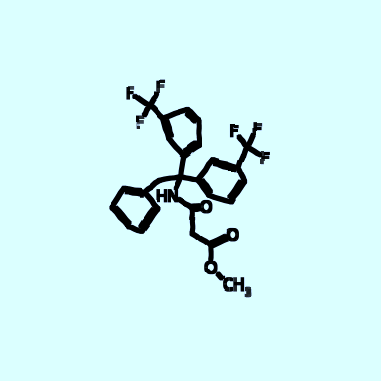 COC(=O)CC(=O)NC(Cc1ccccc1)(c1cccc(C(F)(F)F)c1)c1cccc(C(F)(F)F)c1